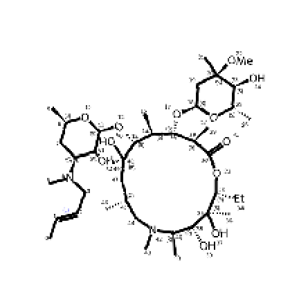 C/C=C/CN(C)[C@H]1C[C@@H](C)O[C@@H](O[C@@H]2[C@@H](C)[C@H](O[C@H]3C[C@@](C)(OC)[C@@H](O)[C@H](C)O3)[C@@H](C)C(=O)O[C@H](CC)[C@@](C)(O)[C@H](O)[C@@H](C)N(C)C[C@H](C)C[C@@]2(C)O)[C@@H]1O